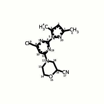 Cc1cc(C)n(-c2nc(Cl)cc(N3CCOC(C#N)C3)n2)n1